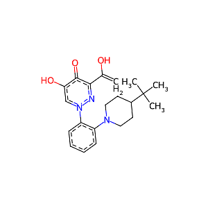 C=C(O)c1nn(-c2ccccc2N2CCC(C(C)(C)C)CC2)cc(O)c1=O